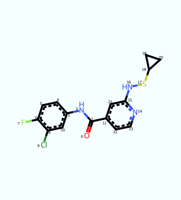 O=C(Nc1ccc(F)c(Cl)c1)c1ccnc(NSC2CC2)c1